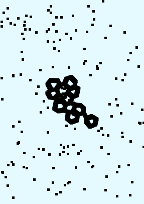 c1ccc(-c2ccc(N(c3ccccc3-c3ccccc3)c3ccc4cccc5c6cccc7cccc(oc3c45)c76)cc2)cc1